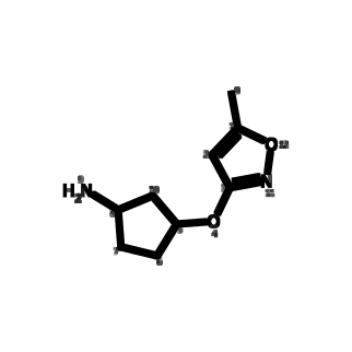 Cc1cc(OC2CCC(N)C2)no1